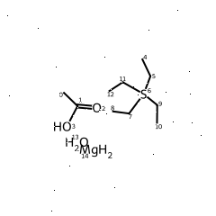 CC(=O)O.CCS(CC)(CC)CC.O.[MgH2]